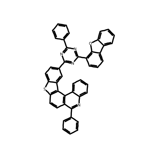 c1ccc(-c2nc(-c3ccc4sc5ccc6c(-c7ccccc7)nc7ccccc7c6c5c4c3)nc(-c3cccc4c3oc3ccccc34)n2)cc1